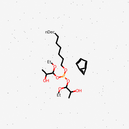 CCCCCCCCCCCCCCCCOP(OC(OCC)C(C)O)OC(OCC)C(C)O.c1cc2cc-2c1